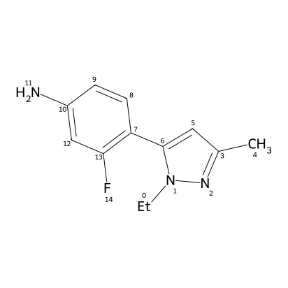 CCn1nc(C)cc1-c1ccc(N)cc1F